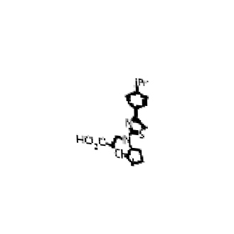 CC(CN(c1nc(-c2ccc(C(C)C)cc2)cs1)C1CCCC1)C(=O)O